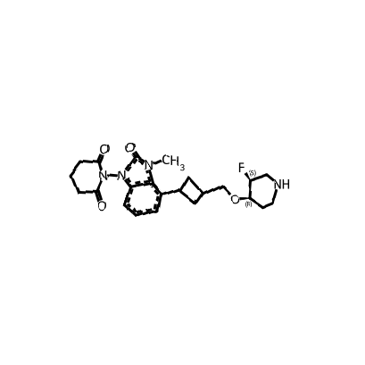 Cn1c(=O)n(N2C(=O)CCCC2=O)c2cccc(C3CC(CO[C@@H]4CCNC[C@@H]4F)C3)c21